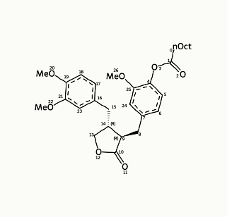 CCCCCCCCC(=O)Oc1ccc(C[C@H]2C(=O)OC[C@@H]2Cc2ccc(OC)c(OC)c2)cc1OC